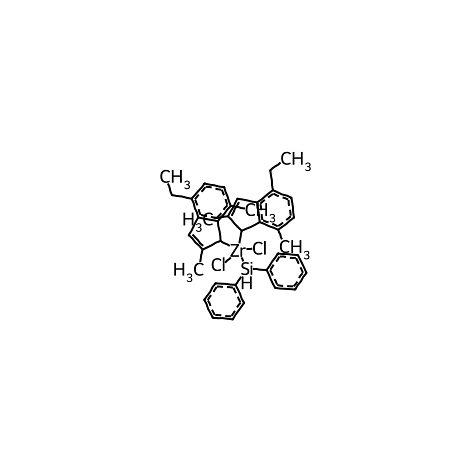 CCc1ccc(C)c2c1C=C(C)[CH]2[Zr]([Cl])([Cl])([CH]1C(C)=Cc2c(CC)ccc(C)c21)[SiH](c1ccccc1)c1ccccc1